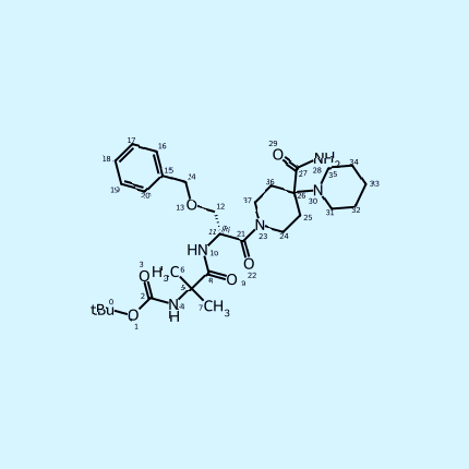 CC(C)(C)OC(=O)NC(C)(C)C(=O)N[C@H](COCc1ccccc1)C(=O)N1CCC(C(N)=O)(N2CCCCC2)CC1